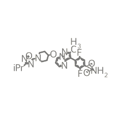 Cc1nn2c(OC3CCN(c4nc(C(C)C)no4)CC3)ccnc2c1-c1cc(F)c(S(N)(=O)=O)cc1F